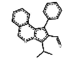 CC(C)c1c(C=O)c(-c2ccccc2)c2c3ccccc3cnn12